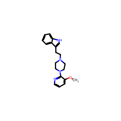 COc1cccnc1N1CCN(CCc2c[nH]c3ccccc23)CC1